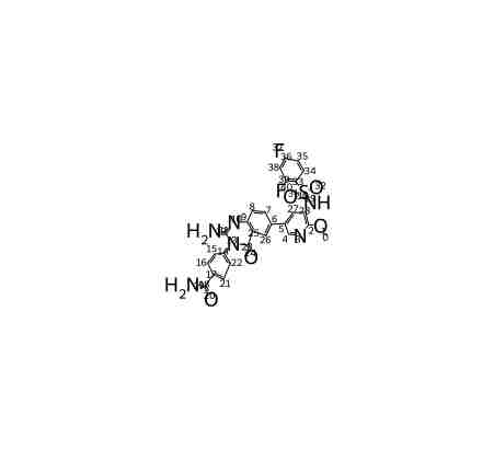 COc1ncc(-c2ccc3nc(N)n(-c4ccc(C(N)=O)cc4)c(=O)c3c2)cc1NS(=O)(=O)c1ccc(F)cc1F